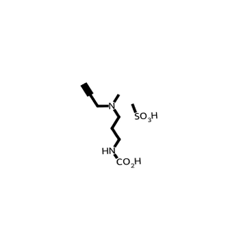 C#CCN(C)CCCNC(=O)O.CS(=O)(=O)O